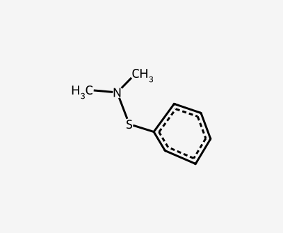 CN(C)Sc1ccccc1